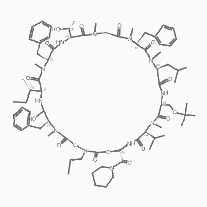 CCCN1CC(=O)N(C)[C@@H](Cc2ccccc2)C(O)N[C@@H]([C@@H](C)CC)C(=O)N(C)[C@@H](Cc2ccccc2)C(=O)N[C@@H]([C@@H](C)O)C(=O)N(C)CC(=O)N(C)[C@@H](Cc2ccccc2)C(=O)N(C)[C@@H](CC(C)C)C(=O)N[C@@H](COC(C)(C)C)C(=O)N(C)[C@@H](C(C)C)C(=O)N[C@H](C(=O)N2CCCCC2)CC1=O